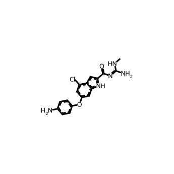 CNC(N)=NC(=O)c1cc2c(Cl)cc(Oc3ccc(N)cc3)cc2[nH]1